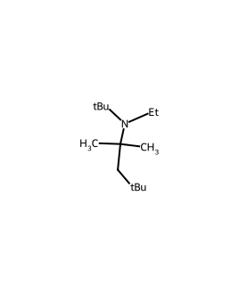 CCN(C(C)(C)C)C(C)(C)CC(C)(C)C